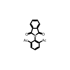 CC(=O)c1cccc(C(C)=O)c1N1C(=O)c2ccccc2C1=O